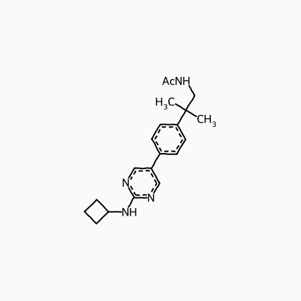 CC(=O)NCC(C)(C)c1ccc(-c2cnc(NC3CCC3)nc2)cc1